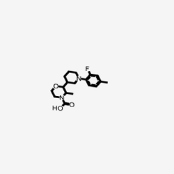 Cc1ccc(N2CCCC(C3OCCN(C(=O)O)C3C)C2)c(F)c1